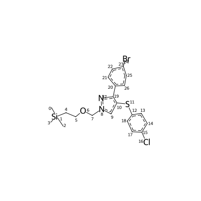 C[Si](C)(C)CCOCn1cc(Sc2ccc(Cl)cc2)c(-c2ccc(Br)cc2)n1